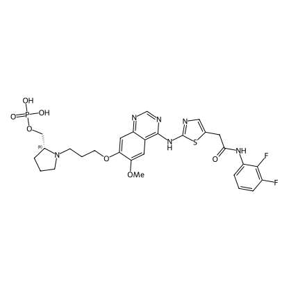 COc1cc2c(Nc3ncc(CC(=O)Nc4cccc(F)c4F)s3)ncnc2cc1OCCCN1CCC[C@@H]1COP(=O)(O)O